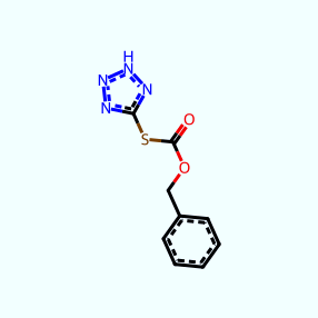 O=C(OCc1ccccc1)Sc1nn[nH]n1